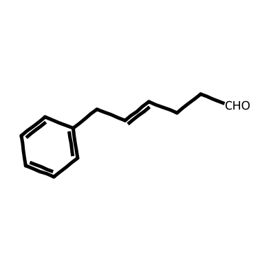 O=CCCC=CCc1ccccc1